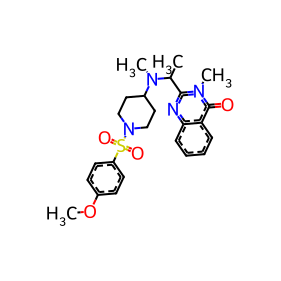 COc1ccc(S(=O)(=O)N2CCC(N(C)C(C)c3nc4ccccc4c(=O)n3C)CC2)cc1